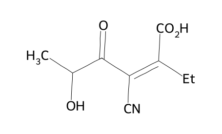 CC/C(C(=O)O)=C(\C#N)C(=O)C(C)O